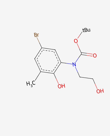 Cc1cc(Br)cc(N(CCO)C(=O)OC(C)(C)C)c1O